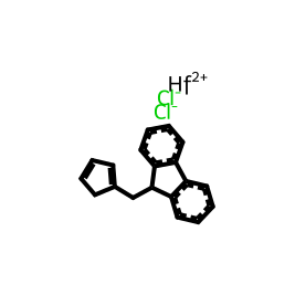 C1=CCC(CC2c3ccccc3-c3ccccc32)=C1.[Cl-].[Cl-].[Hf+2]